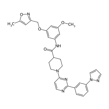 COc1cc(NC(=O)C2CCN(c3ccnc(-c4cccc(-n5cccn5)c4)n3)CC2)cc(OCc2cc(C)on2)c1